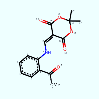 COC(=O)c1ccccc1NC=C1C(=O)OC(C)(C)OC1=O